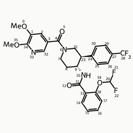 COc1cc(C(=O)N2CC[C@@H](NC(=O)c3ccccc3OC(F)F)[C@H](c3ccc(C(F)(F)F)cc3)C2)cnc1OC